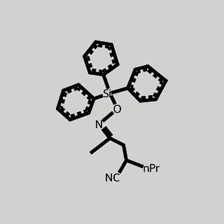 CCCC(C#N)CC(C)=NO[Si](c1ccccc1)(c1ccccc1)c1ccccc1